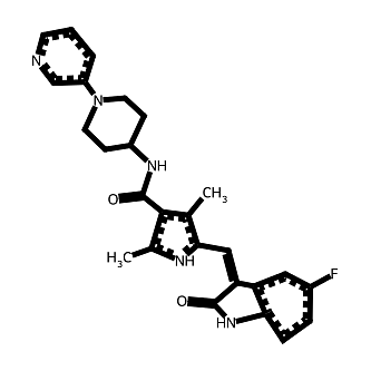 Cc1[nH]c(/C=C2\C(=O)Nc3ccc(F)cc32)c(C)c1C(=O)NC1CCN(c2cccnc2)CC1